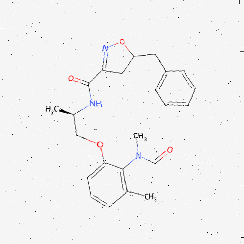 Cc1cccc(OC[C@@H](C)NC(=O)C2=NOC(Cc3ccccc3)C2)c1N(C)C=O